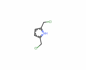 ClCc1ccc(CCl)[nH]1